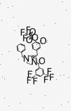 COc1cc(C[C@@H]2CN(Cc3ccccc3)CCN2C(=O)c2cc(C(F)(F)F)cc(C(F)(F)F)c2)ccc1OS(=O)(=O)C(F)(F)F